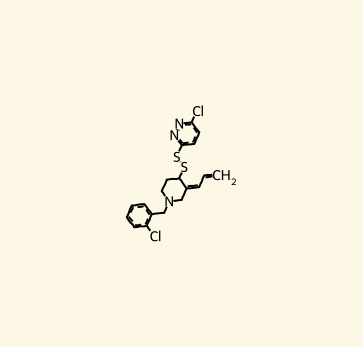 C=C/C=C1/CN(Cc2ccccc2Cl)CCC1SSc1ccc(Cl)nn1